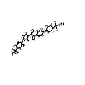 Cc1c(C(=O)Nc2ccc(C3=CCC(C(C)(C)O)CC3)nc2)cnn1-c1ccc(C(F)(F)F)cn1